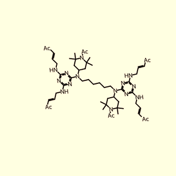 CC(=O)C=CCNc1nc(NCC=CC(C)=O)nc(N(CCCCCCN(c2nc(NCC=CC(C)=O)nc(NCC=CC(C)=O)n2)C2CC(C)(C)N(C(C)=O)C(C)(C)C2)C2CC(C)(C)N(C(C)=O)C(C)(C)C2)n1